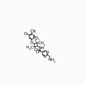 CC1(C)C(NC(=O)c2cnc(CN)nc2)C(C)(C)C1Oc1ccc(C#N)c(Cl)c1